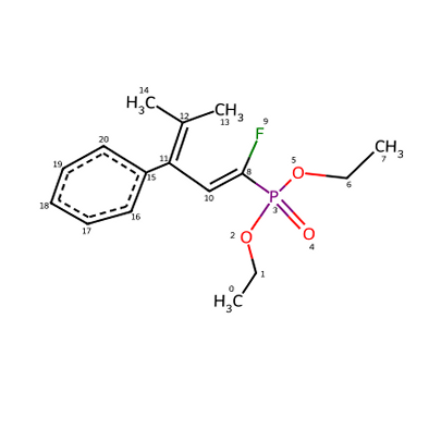 CCOP(=O)(OCC)/C(F)=C/C(=C(C)C)c1ccccc1